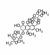 COc1c2c(c(O)c3c4c(c(C)cc13)C1OC3(C(OC)OC)OC1[C@@](O)(O4)[C@@]31CO1)C(=O)[C@@H](O)C[C@@H]2OC1CC(C)(O)C(OC(C)=O)C(C)O1